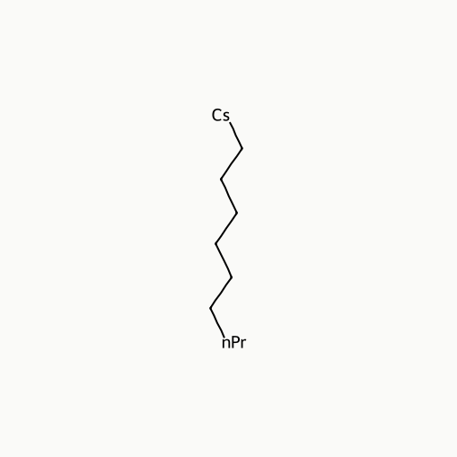 CCCCCCCC[CH2][Cs]